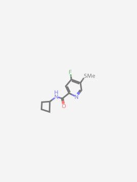 CSc1cnc(C(=O)NC2CCC2)cc1F